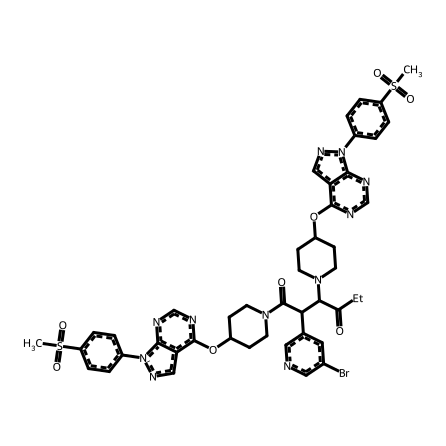 CCC(=O)C(C(C(=O)N1CCC(Oc2ncnc3c2cnn3-c2ccc(S(C)(=O)=O)cc2)CC1)c1cncc(Br)c1)N1CCC(Oc2ncnc3c2cnn3-c2ccc(S(C)(=O)=O)cc2)CC1